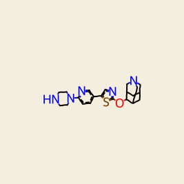 c1cc(N2CCNCC2)ncc1-c1cnc(OC2C3CC4CC2CN(C4)C3)s1